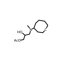 CC(=O)OCC(O)CN(C)C1CCCCCCC1